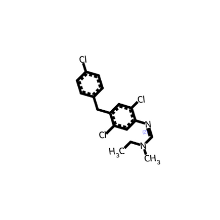 CCN(C)/C=N\c1cc(Cl)c(Cc2ccc(Cl)cc2)cc1Cl